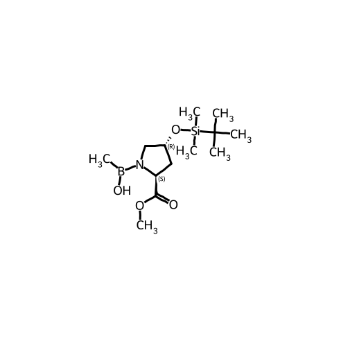 COC(=O)[C@@H]1C[C@@H](O[Si](C)(C)C(C)(C)C)CN1B(C)O